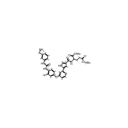 COC(=O)C(CCC(=O)OC(C)(C)C)NC(=O)c1c[nH]c(-c2cc(Oc3ccc(NC(=O)Nc4cccc(CN)c4)c(F)c3)ccn2)c1